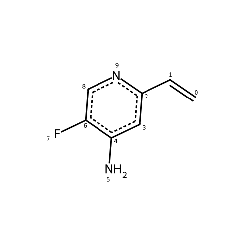 C=Cc1cc(N)c(F)cn1